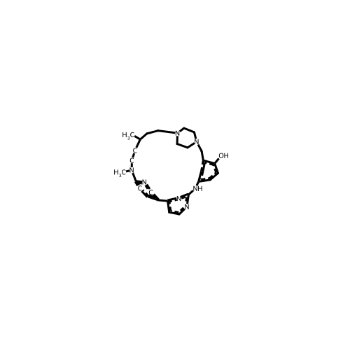 CC1CCN2CCN(CC2)Cc2cc(ccc2O)Nc2nccc(n2)-c2ccc(nc2)N(C)CC1